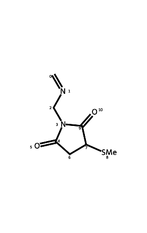 C=NCN1C(=O)CC(SC)C1=O